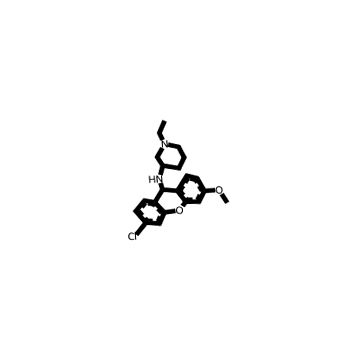 CCN1CCCC(NC2c3ccc(Cl)cc3Oc3cc(OC)ccc32)C1